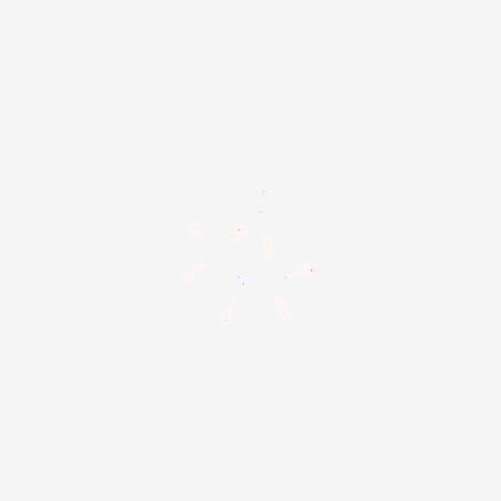 [K+].[K+].[O]N(S(=O)(=O)[O-])S(=O)(=O)[O-]